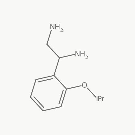 CC(C)Oc1ccccc1C(N)CN